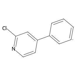 Clc1cc(-c2c[c]ccc2)ccn1